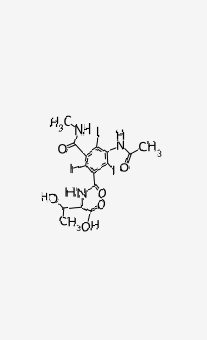 CNC(=O)c1c(I)c(NC(C)=O)c(I)c(C(=O)NC(C(=O)O)C(C)O)c1I